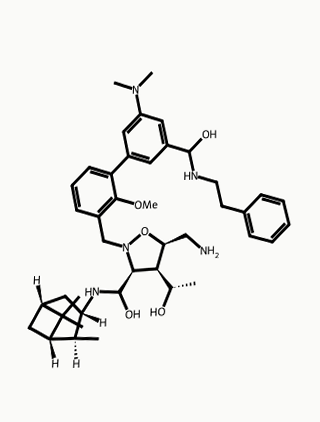 COc1c(CN2O[C@@H](CN)[C@@H]([C@H](C)O)[C@H]2C(O)N[C@H]2C[C@H]3C[C@@H]([C@@H]2C)C3(C)C)cccc1-c1cc(C(O)NCCc2ccccc2)cc(N(C)C)c1